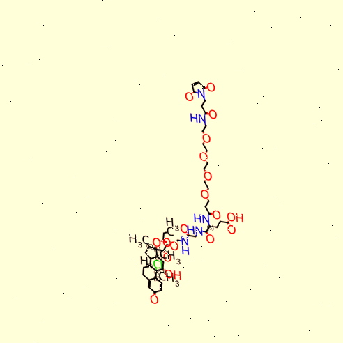 CCC(=O)O[C@]1(C(=O)COCNC(=O)CNC(=O)[C@H](CCC(=O)O)NC(=O)CCOCCOCCOCCOCCNC(=O)CCN2C(=O)C=CC2=O)[C@@H](C)CC2[C@@H]3CCC4=CC(=O)C=C[C@]4(C)[C@@]3(Cl)[C@@H](O)C[C@@]21C